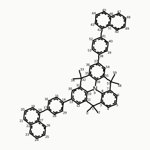 CC1(C)c2cccc3c2N2c4c1cc(-c1ccc(-c5cccc6ccccc56)cc1)cc4C(C)(C)c1cc(-c4ccc(-c5cccc6ccccc56)cc4)cc(c12)C3(C)C